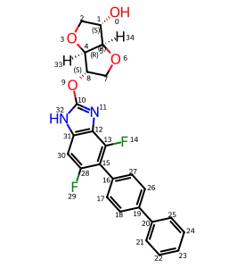 O[C@H]1CO[C@H]2[C@@H]1OC[C@@H]2Oc1nc2c(F)c(-c3ccc(-c4ccccc4)cc3)c(F)cc2[nH]1